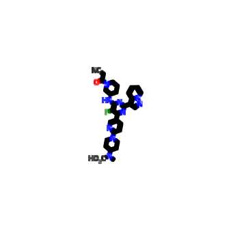 CN(C(=O)O)C1CCN(c2ccc(-c3nc(-c4cnn5ccccc45)nc(N[C@@H]4CCCN(C(=O)CC#N)C4)c3F)cn2)CC1